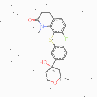 C[C@H]1C[C@@](O)(c2cccc(Sc3c(F)ccc4c3N(C)C(=O)CC4)c2)CCO1